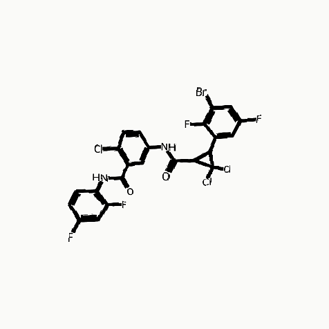 O=C(Nc1ccc(F)cc1F)c1cc(NC(=O)C2C(c3cc(F)cc(Br)c3F)C2(Cl)Cl)ccc1Cl